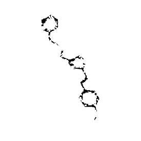 CC(C)Oc1ccc(/C=C/c2nc(COCc3ccccn3)co2)cc1